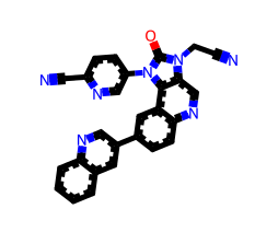 N#CCn1c(=O)n(-c2ccc(C#N)nc2)c2c3cc(-c4cnc5ccccc5c4)ccc3ncc21